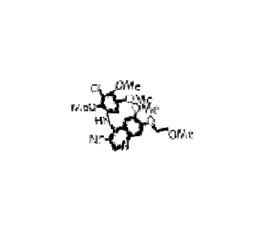 COCCOc1cc2ncc(C#N)c(Nc3cc(OC)c(OC)c(Cl)c3OC)c2cc1OC